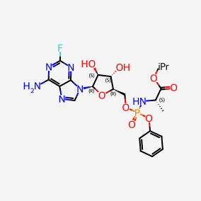 CC(C)OC(=O)[C@H](C)NP(=O)(OC[C@H]1O[C@@H](n2cnc3c(N)nc(F)nc32)[C@@H](O)[C@@H]1O)Oc1ccccc1